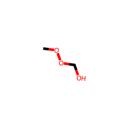 COOCO